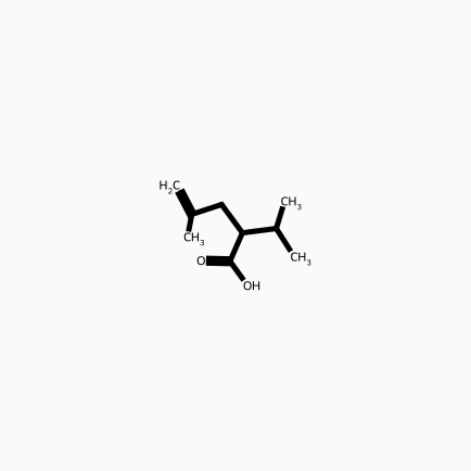 C=C(C)CC(C(=O)O)C(C)C